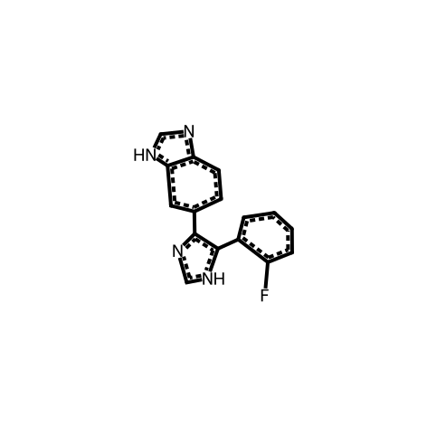 Fc1ccccc1-c1[nH]cnc1-c1ccc2nc[nH]c2c1